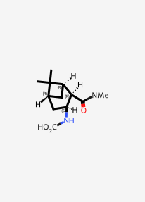 CNC(=O)[C@H]1[C@@H](NC(=O)O)C[C@H]2C[C@H]1C2(C)C